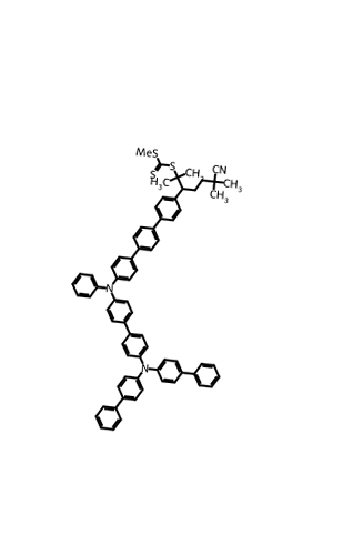 CSC(=S)SC(C)(C)C(CCC(C)(C)C#N)c1ccc(-c2ccc(-c3ccc(N(c4ccccc4)c4ccc(-c5ccc(N(c6ccc(-c7ccccc7)cc6)c6ccc(-c7ccccc7)cc6)cc5)cc4)cc3)cc2)cc1